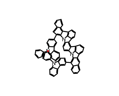 c1ccc(-n2c3ccccc3c3cc(-c4c5ccccc5cc5c6cccc7c8c9c%10cccc%11c%12c%13ccccc%13cc(-c%13ccc%14c(c%13)c%13ccccc%13n%14-c%13ccccc%13)c%12n(c9ccc8n(c45)c67)c%10%11)ccc32)cc1